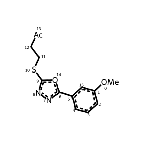 COc1cccc(-c2nnc(SCCC(C)=O)o2)c1